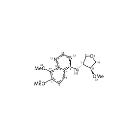 COc1ccc2c(N[C@@H]3COC[C@H]3OC)ncnc2c1OC